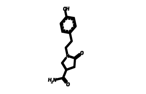 NC(=O)C1CC(=O)N(CCc2ccc(O)cc2)C1